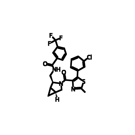 Cc1nc(C(=O)N2C[C@H]3CC3[C@H]2CNC(=O)c2cccc(C(F)(F)F)c2)c(-c2cccc(Cl)c2)s1